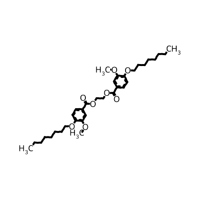 CCCCCCCCOc1ccc(C(=O)OCCOC(=O)c2ccc(OCCCCCCCC)c(OC)c2)cc1OC